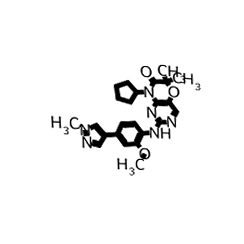 COc1cc(-c2cnn(C)c2)ccc1Nc1ncc2c(n1)N(C1CCCC1)C(=O)C(C)(C)O2